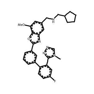 COc1cc(CNCC2CCCC2)cc2nc(-c3cccc(-c4ccc(F)cc4-c4nncn4C)c3)oc12